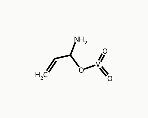 C=CC(N)[O][V](=[O])=[O]